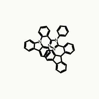 c1ccc(-n2c(-c3ccccc3C3c4ccccc4-c4ccccc43)nnc2-c2ccccc2-n2c3ccccc3c3ccccc32)cc1